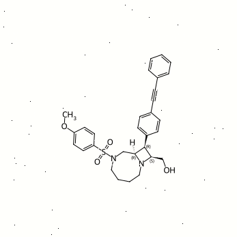 COc1ccc(S(=O)(=O)N2CCCCN3[C@H](CO)[C@H](c4ccc(C#Cc5ccccc5)cc4)[C@@H]3C2)cc1